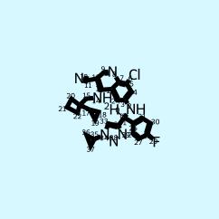 [2H][C@](Nc1cc(Cl)c2ncc(C#N)c(NCC3(C4CC4)CCC3)c2c1)(c1ccc(F)cc1)c1cn(C2CC2)nn1